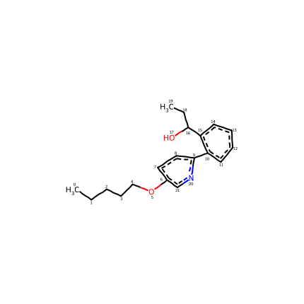 CCCCCOc1ccc(-c2ccccc2C(O)CC)nc1